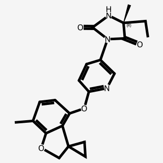 CC[C@@]1(C)NC(=O)N(c2ccc(Oc3ccc(C)c4c3C3(CC3)CO4)nc2)C1=O